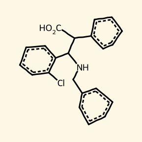 O=C(O)C(c1ccccc1)C(NCc1ccccc1)c1ccccc1Cl